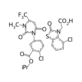 CC(C)OC(=O)c1cc(-n2c(=O)cc(C(F)(F)F)n(C)c2=O)ccc1Cl.O=C(O)Cn1c(=O)sc2cccc(Cl)c21